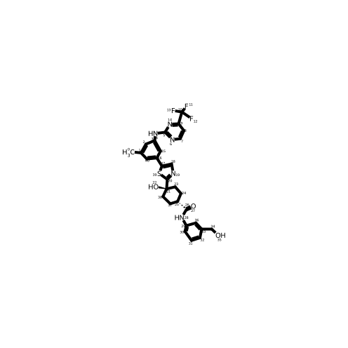 Cc1cc(Nc2nccc(C(F)(F)F)n2)cc(-c2cnc([C@]3(O)CC[C@H](C(=O)Nc4cccc(CO)c4)CC3)s2)c1